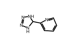 c1ccc(C2NN=NN2)nc1